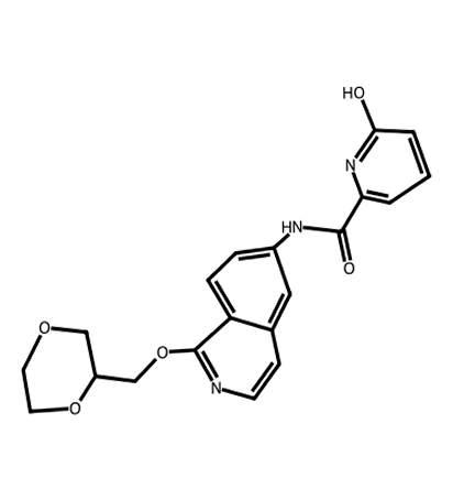 O=C(Nc1ccc2c(OCC3COCCO3)nccc2c1)c1cccc(O)n1